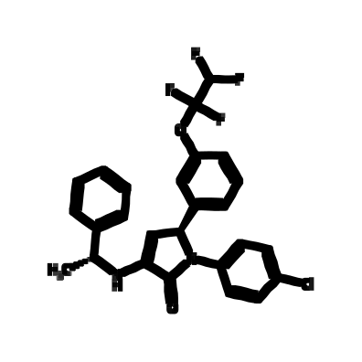 C[C@@H](NC1=C[C@@H](c2cccc(OC(F)(F)C(F)F)c2)N(c2ccc(Cl)cc2)C1=O)c1ccccc1